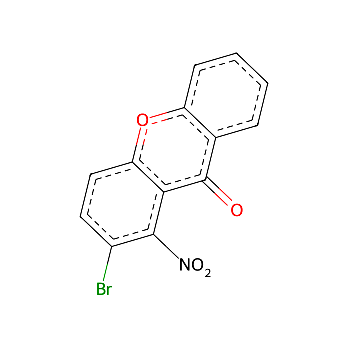 O=c1c2ccccc2oc2ccc(Br)c([N+](=O)[O-])c12